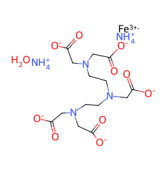 O.O=C([O-])CN(CCN(CC(=O)[O-])CC(=O)[O-])CCN(CC(=O)[O-])CC(=O)[O-].[Fe+3].[NH4+].[NH4+]